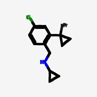 CCCC1(c2cc(Cl)ccc2CNC2CC2)CC1